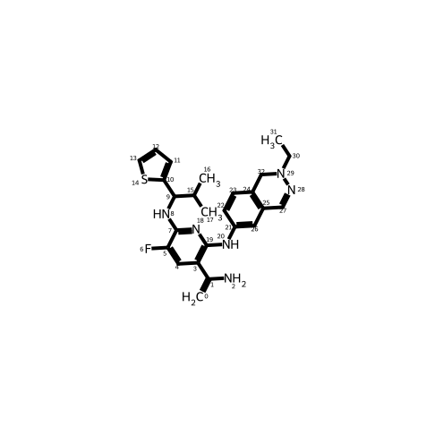 C=C(N)c1cc(F)c(NC(c2cccs2)C(C)C)nc1Nc1ccc2c(c1)C=NN(CC)C2